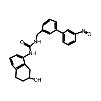 O=Nc1cccc(-c2cccc(CNC(=O)Nc3cccc4c3CC(O)CC4)c2)c1